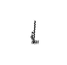 C=C.CCCCCCCCCCCCCCCCOP(=O)(O)O.CCOCC